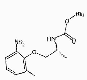 Cc1cccc(N)c1OC[C@@H](C)NC(=O)OC(C)(C)C